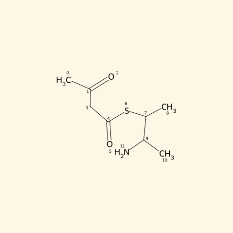 CC(=O)CC(=O)SC(C)C(C)N